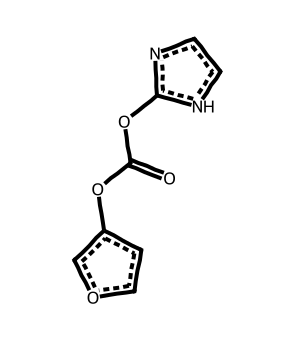 O=C(Oc1ccoc1)Oc1ncc[nH]1